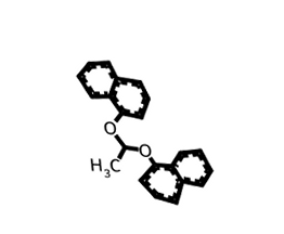 CC(Oc1cccc2ccccc12)Oc1cccc2ccccc12